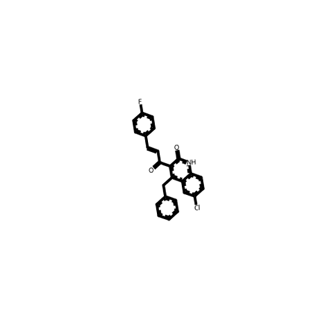 O=C(/C=C/c1ccc(F)cc1)c1c(Cc2ccccc2)c2cc(Cl)ccc2[nH]c1=O